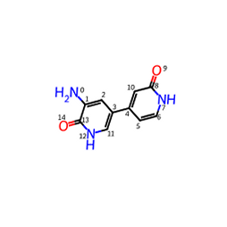 Nc1cc(-c2cc[nH]c(=O)c2)c[nH]c1=O